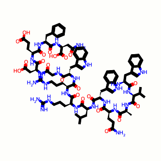 CC(C)C[C@H](NC(=O)[C@H](Cc1c[nH]c2ccccc12)NC(=O)[C@H](CCC(N)=O)NC(=O)[C@H](C)NC(=O)[C@@H](NC(=O)[C@@H](N)Cc1c[nH]c2ccccc12)C(C)C)C(=O)N[C@@H](CCCNC(=N)N)C(=O)N[C@@H](CCCNC(=N)N)C(=O)N[C@@H](Cc1c[nH]c2ccccc12)C(=O)NCC(=O)N[C@@H](CC(=O)O)C(=O)N[C@@H](CCC(=O)O)C(=O)N[C@@H](Cc1ccccc1)C(=O)N[C@@H](CC(N)=O)C(=O)O